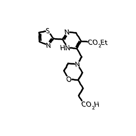 CCOC(=O)C1=C(CN2CCOC(CCC(=O)O)C2)NC(c2nccs2)=NC1